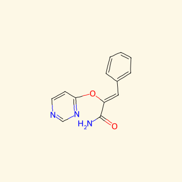 NC(=O)C(=Cc1ccccc1)Oc1ccncn1